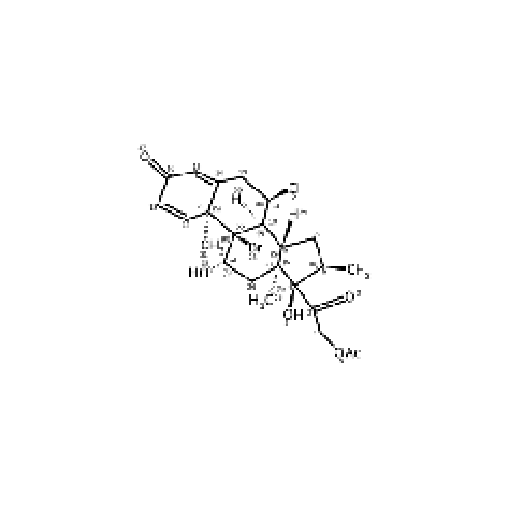 CC(=O)OCC(=O)[C@@]1(O)[C@H](C)C[C@H]2[C@@H]3[C@H](Cl)CC4=CC(=O)C=C[C@]4(C)[C@@]3(Br)[C@@H](O)C[C@@]21C